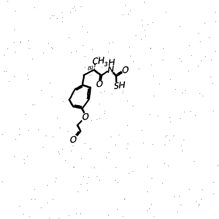 C[C@@H](CC1=CCC=C(OCC=O)C=C1)C(=O)NC(=O)S